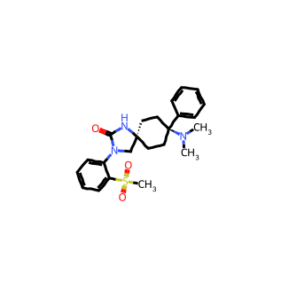 CN(C)[C@]1(c2ccccc2)CC[C@]2(CC1)CN(c1ccccc1S(C)(=O)=O)C(=O)N2